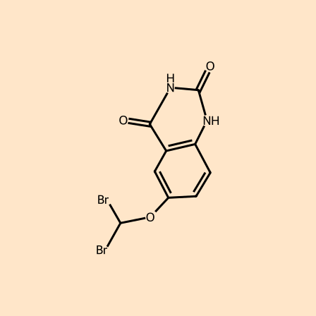 O=c1[nH]c(=O)c2cc(OC(Br)Br)ccc2[nH]1